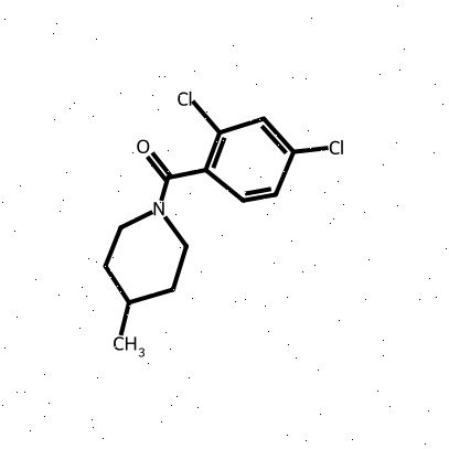 CC1CCN(C(=O)c2ccc(Cl)cc2Cl)CC1